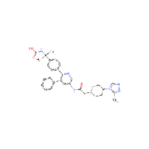 Cc1nncn1C1CCC(CC(=O)Nc2cnc(-c3ccc(C(C)(C)NC(=O)O)cc3)c(-c3ccccc3)c2)CC1